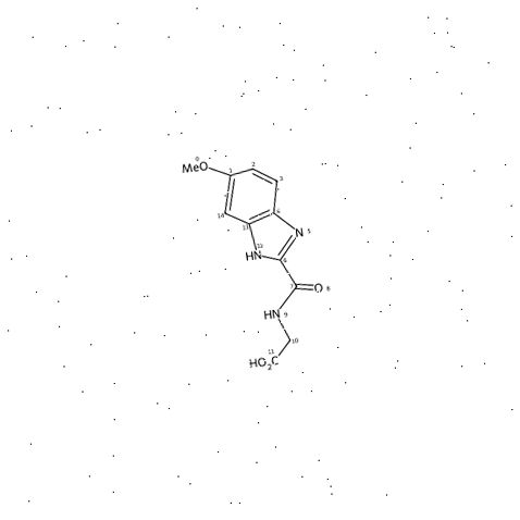 COc1ccc2nc(C(=O)NCC(=O)O)[nH]c2c1